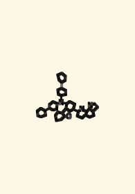 C1=[N+]=c2c(ccc3ccc(-c4ccc(N(c5ccc(-c6ccccc6)cc5)c5ccc(-c6ccccc6)cc5)c5c4oc4ccccc45)nc23)=C1